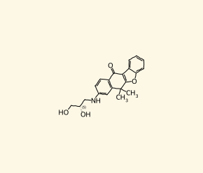 CC1(C)c2cc(NC[C@H](O)CO)ccc2C(=O)c2c1oc1ccccc21